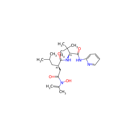 C=C(C)N(O)C(=O)C[C@@H](CC(C)C)C(=O)N[C@H](C(=O)Nc1ccccn1)C(C)(C)C